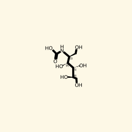 O=C(O)N[C@@H](CO)[C@@H](O)[C@H](O)[C@H](O)CO